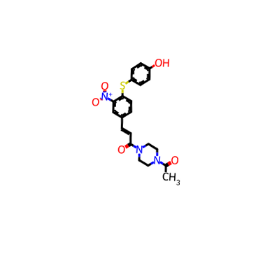 CC(=O)N1CCN(C(=O)C=Cc2ccc(Sc3ccc(O)cc3)c([N+](=O)[O-])c2)CC1